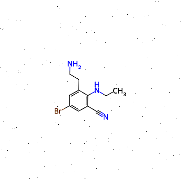 CCNc1c(C#N)cc(Br)cc1CCN